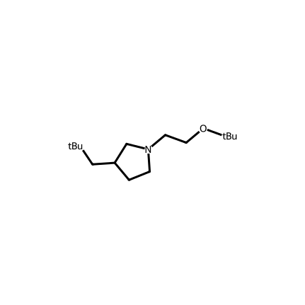 CC(C)(C)CC1CCN(CCOC(C)(C)C)C1